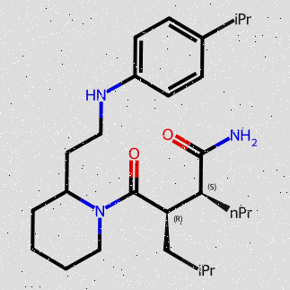 CCC[C@H](C(N)=O)[C@@H](CC(C)C)C(=O)N1CCCCC1CCNc1ccc(C(C)C)cc1